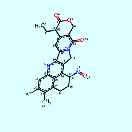 CC[C@H]1C(=O)OCc2c1cc1n(c2=O)Cc2c-1nc1cc(F)c(C)c3c1c2[C@@H](N=O)CC3